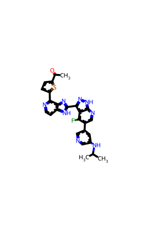 CC(=O)c1ccc(-c2nccc3[nH]c(-c4n[nH]c5ncc(-c6cncc(NC(C)C)c6)c(F)c45)nc23)s1